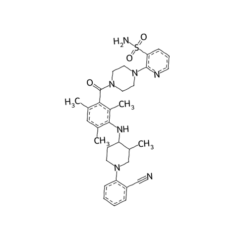 Cc1cc(C)c(C(=O)N2CCN(c3ncccc3S(N)(=O)=O)CC2)c(C)c1NC1CCN(c2ccccc2C#N)CC1C